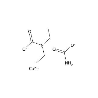 CCN(CC)C(=O)[O-].NC(=O)[O-].[Cu+2]